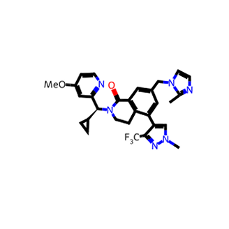 COc1ccnc([C@H](C2CC2)N2CCc3c(cc(Cn4ccnc4C)cc3-c3cn(C)nc3C(F)(F)F)C2=O)c1